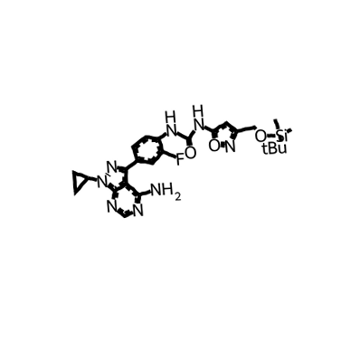 CC(C)(C)[Si](C)(C)OCc1cc(NC(=O)Nc2ccc(-c3nn(C4CC4)c4ncnc(N)c34)cc2F)on1